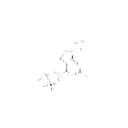 CC1(C)OB(c2cc(F)cc3c2cnn3S(C)(=O)=O)OC1(C)C